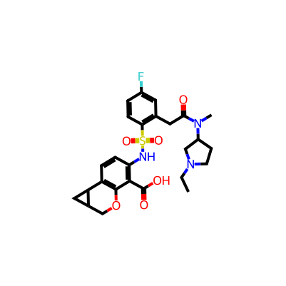 CCN1CCC(N(C)C(=O)Cc2cc(F)ccc2S(=O)(=O)Nc2ccc3c(c2C(=O)O)OCC2CC32)C1